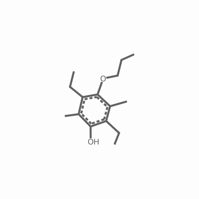 CCCOc1c(C)c(CC)c(O)c(C)c1CC